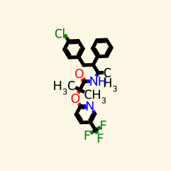 CC(NC(=O)C(C)(C)Oc1ccc(C(F)(F)F)cn1)C(Cc1ccc(Cl)cc1)c1ccccc1